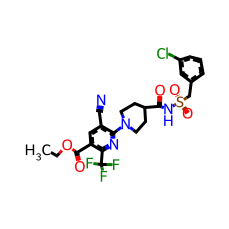 CCOC(=O)c1cc(C#N)c(N2CCC(C(=O)NS(=O)(=O)Cc3cccc(Cl)c3)CC2)nc1C(F)(F)F